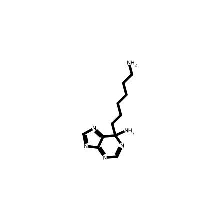 NCCCCCCC1(N)N=CN=C2N=CN=C21